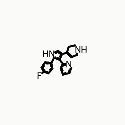 Fc1ccc(-c2[nH]cc(C3=CCNCC3)c2-c2ccccn2)cc1